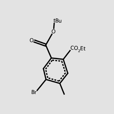 CCOC(=O)c1cc(C)c(Br)cc1C(=O)OC(C)(C)C